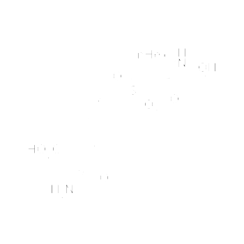 CCCCCCC(C(=O)NO)S(=O)(=O)c1ccc(C(C(N)=O)C(=O)O)cc1